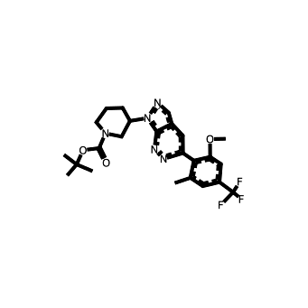 COc1cc(C(F)(F)F)cc(C)c1-c1cc2cnn(C3CCCN(C(=O)OC(C)(C)C)C3)c2nn1